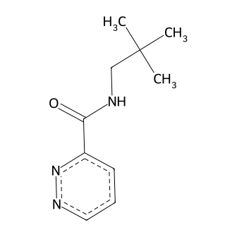 CC(C)(C)CNC(=O)c1cccnn1